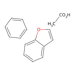 CC(=O)O.c1ccc2occc2c1.c1ccccc1